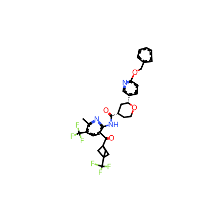 Cc1nc(NC(=O)[C@H]2CCO[C@@H](c3ccc(OCc4ccccc4)nc3)C2)c(C(=O)C23CC(C(F)(F)F)(C2)C3)cc1C(F)(F)F